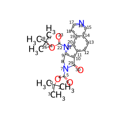 CC(C)(C)OC(=O)N1Cc2c(c3ccc4cnccc4c3n2C(=O)OC(C)(C)C)C1=O